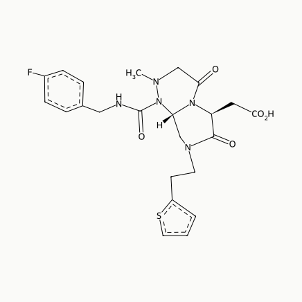 CN1CC(=O)N2[C@@H](CC(=O)O)C(=O)N(CCc3cccs3)C[C@@H]2N1C(=O)NCc1ccc(F)cc1